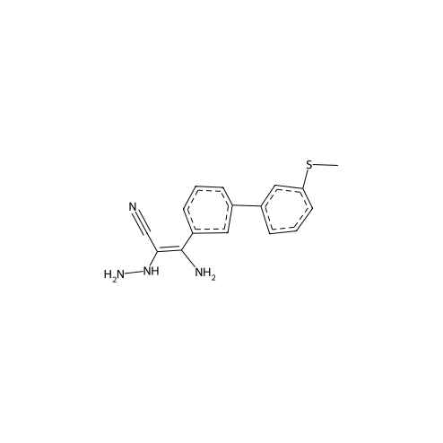 CSc1cccc(-c2cccc(/C(N)=C(\C#N)NN)c2)c1